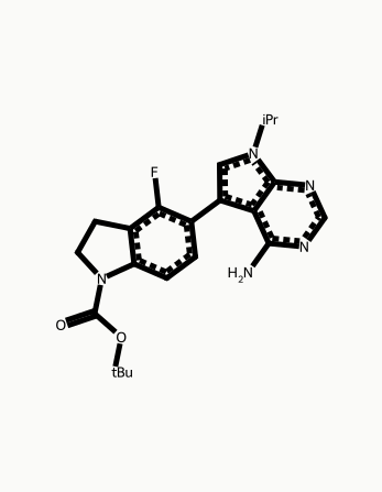 CC(C)n1cc(-c2ccc3c(c2F)CCN3C(=O)OC(C)(C)C)c2c(N)ncnc21